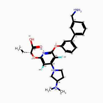 CC[C@@H](Oc1nc(Oc2cccc(-c3cccc(CN)c3)c2)c(F)c(N2CCC(N(C)C)C2)c1F)C(=O)O